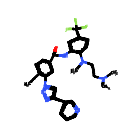 Cc1ccc(C(=O)Nc2cc(C(F)(F)F)ccc2N(C)CCN(C)C)cc1-n1cc(-c2cccnc2)nn1